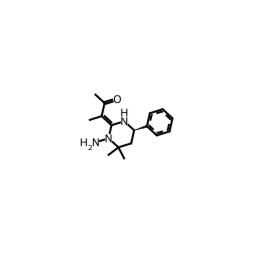 CC(=O)/C(C)=C1\N[C@@H](c2ccccc2)CC(C)(C)N1N